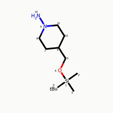 CC(C)(C)[Si](C)(C)OCC1CCN(N)CC1